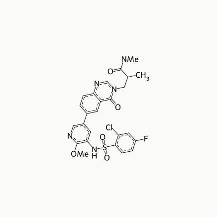 CNC(=O)C(C)Cn1cnc2ccc(-c3cnc(OC)c(NS(=O)(=O)c4ccc(F)cc4Cl)c3)cc2c1=O